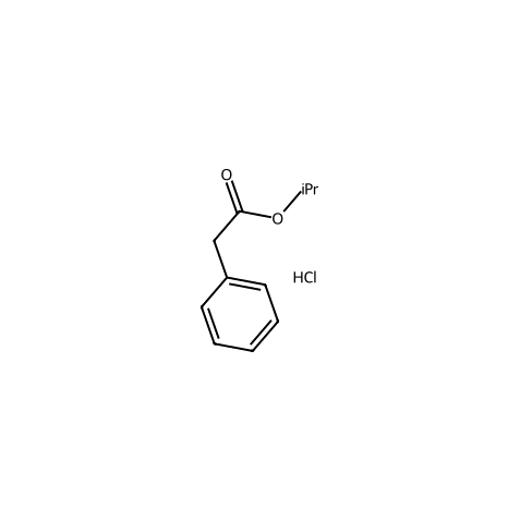 CC(C)OC(=O)Cc1ccccc1.Cl